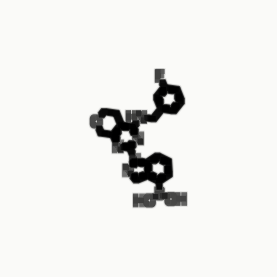 OB(O)c1cccc2c1cnn2-c1nc2c(c(NCc3cccc(F)c3)n1)CCOC2